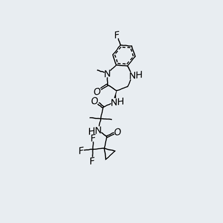 CN1C(=O)[C@H](NC(=O)C(C)(C)NC(=O)C2(C(F)(F)F)CC2)CNc2ccc(F)cc21